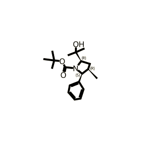 C[C@@H]1C[C@H](C(C)(C)O)N(C(=O)OC(C)(C)C)[C@@H]1c1ccccc1